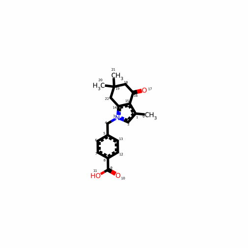 Cc1cn(Cc2ccc(C(=O)O)cc2)c2c1C(=O)CC(C)(C)C2